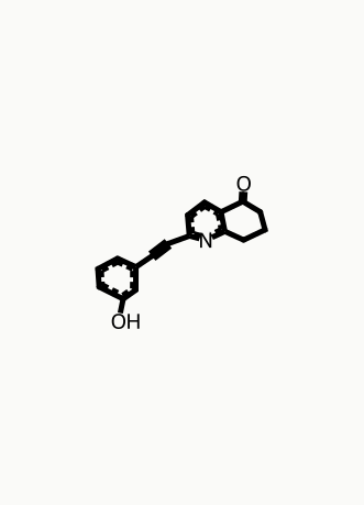 O=C1CCCc2nc(C#Cc3cccc(O)c3)ccc21